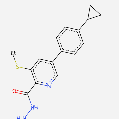 CCSc1cc(-c2ccc(C3CC3)cc2)cnc1C(=O)NN